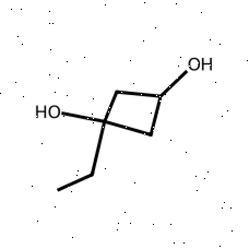 CCC1(O)CC(O)C1